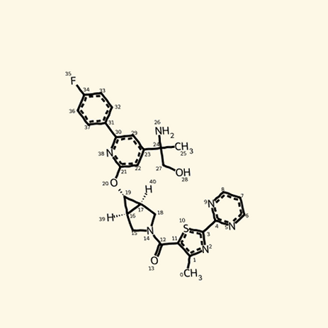 Cc1nc(-c2ncccn2)sc1C(=O)N1C[C@@H]2[C@H](C1)[C@H]2Oc1cc(C(C)(N)CO)cc(-c2ccc(F)cc2)n1